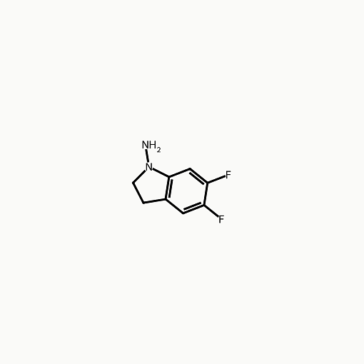 NN1CCc2cc(F)c(F)cc21